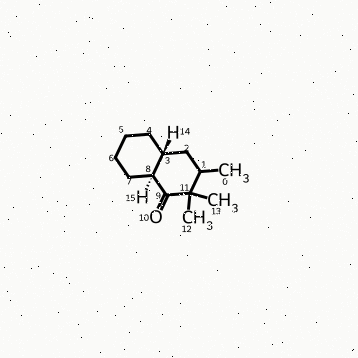 CC1C[C@H]2CCCC[C@@H]2C(=O)C1(C)C